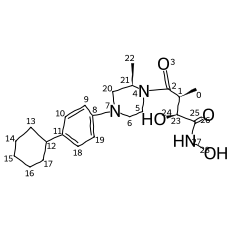 C[C@H](C(=O)N1CCN(c2ccc(C3CCCCC3)cc2)C[C@H]1C)[C@H](O)C(=O)NO